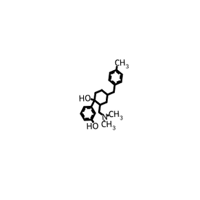 Cc1ccc(CC2CCC(O)(c3cccc(O)c3)C(CN(C)C)C2)cc1